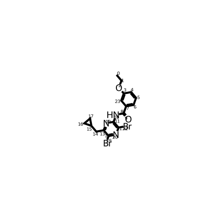 CCOc1cccc(C(=O)Nc2nc(CC3CC3)c(Br)nc2Br)c1